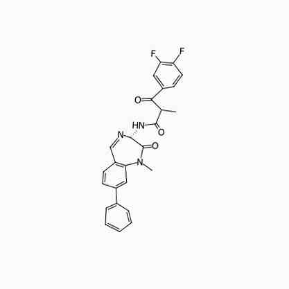 CC(C(=O)N[C@H]1N=Cc2ccc(-c3ccccc3)cc2N(C)C1=O)C(=O)c1ccc(F)c(F)c1